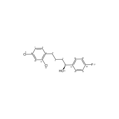 O[C@@H](CCCc1ccc(Cl)cc1Cl)c1ccc(F)cc1